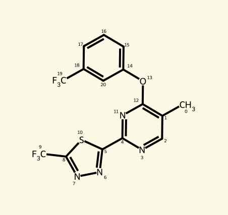 Cc1cnc(-c2nnc(C(F)(F)F)s2)nc1Oc1cccc(C(F)(F)F)c1